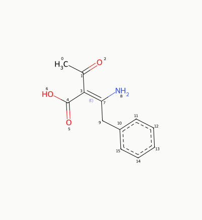 CC(=O)/C(C(=O)O)=C(\N)Cc1ccccc1